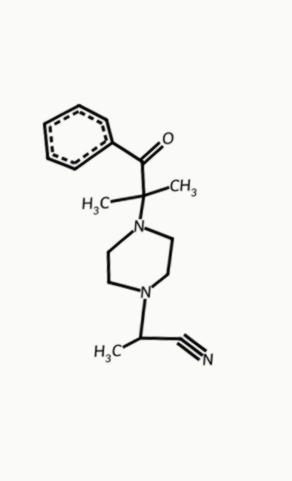 CC(C#N)N1CCN(C(C)(C)C(=O)c2ccccc2)CC1